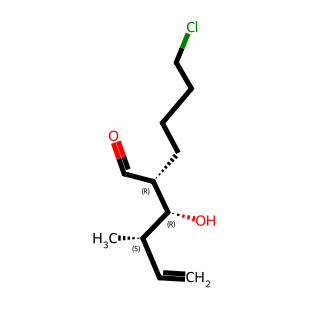 C=C[C@H](C)[C@@H](O)[C@H](C=O)CCCCCl